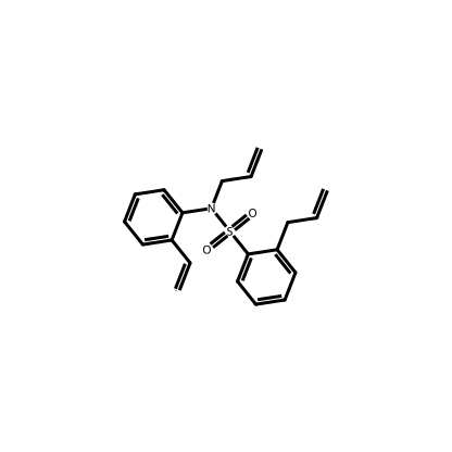 [CH]=Cc1ccccc1N(CC=C)S(=O)(=O)c1ccccc1CC=C